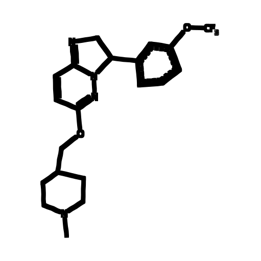 CN1CCC(COC2=NN3C(=NCC3c3cccc(OC(F)(F)F)c3)C=C2)CC1